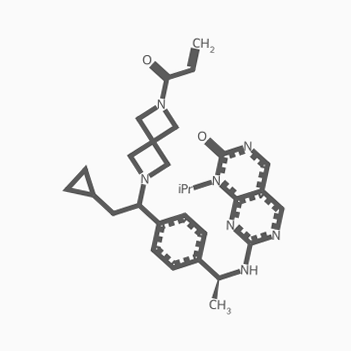 C=CC(=O)N1CC2(C1)CN(C(CC1CC1)c1ccc([C@H](C)Nc3ncc4cnc(=O)n(C(C)C)c4n3)cc1)C2